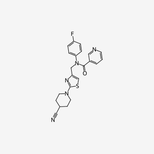 N#CC1CCN(c2nc(CN(C(=O)c3cccnc3)c3ccc(F)cc3)cs2)CC1